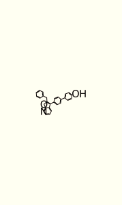 Oc1ccc(-c2ccc(-c3c(Cc4ccccc4)oc4ncccc34)cc2)cc1